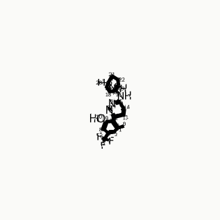 Cc1cc(C(F)(F)F)cc(O)c1-c1ccc(N[C@H]2CC[C@H]3CC[C@@H]2N3C)nn1